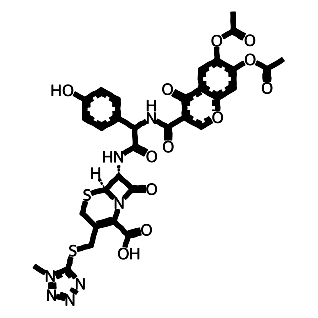 CC(=O)Oc1cc2occ(C(=O)NC(C(=O)N[C@@H]3C(=O)N4C(C(=O)O)=C(CSc5nnnn5C)CS[C@@H]34)c3ccc(O)cc3)c(=O)c2cc1OC(C)=O